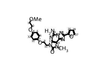 COCCOc1ccc(OCCn2c(=O)n(C)c3c2nc(N)n2nc(-c4ccco4)nc32)cc1